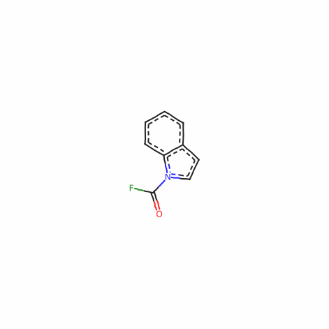 O=C(F)n1ccc2ccccc21